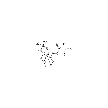 CC(F)(F)C(=O)OCC12CC3CC(C1)CC(O[Si](C)(C)C(C)(C)C)(C3)C2